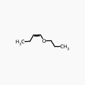 CC/C=C\OCCC